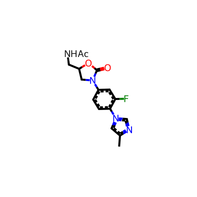 CC(=O)NCC1CN(c2ccc(-n3cnc(C)c3)c(F)c2)C(=O)O1